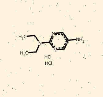 CCN(CC)c1ncc(N)cn1.Cl.Cl